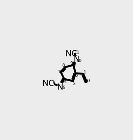 C=CC1=CC(=NC#N)C=CC1=NC#N